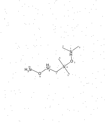 C[SiH](C)O[Si](C)(C)[C][SiH2]O[SiH3]